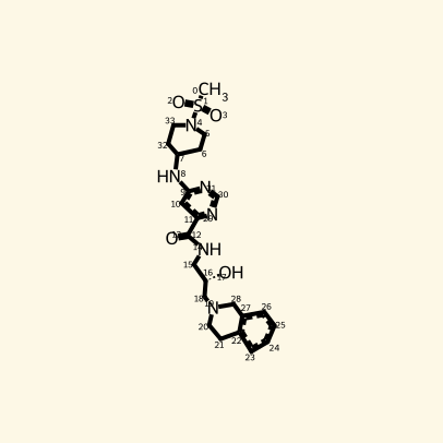 CS(=O)(=O)N1CCC(Nc2cc(C(=O)NC[C@H](O)CN3CCc4ccccc4C3)ncn2)CC1